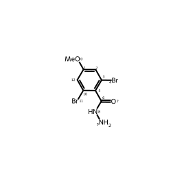 COc1cc(Br)c(C(=O)NN)c(Br)c1